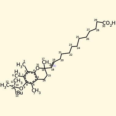 Cc1c(C)c2c(c(C)c1O[Si](C)(C)C(C)(C)C)CCC(C)(/C=C/CCCCCCCCCCC(=O)O)O2